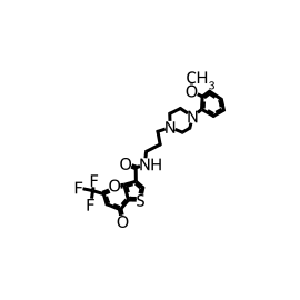 COc1ccccc1N1CCN(CCCNC(=O)c2csc3c(=O)cc(C(F)(F)F)oc23)CC1